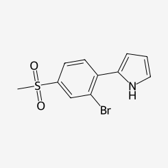 CS(=O)(=O)c1ccc(-c2ccc[nH]2)c(Br)c1